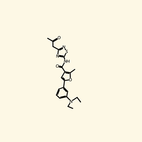 CCN(CC)c1cccc(-c2cc(C(=O)Nc3nc(CC(C)=O)ns3)c(C)o2)c1